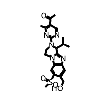 CC(=O)c1cnc(N2CCn3c(nc4cc(CO)c(S(C)(=O)=O)cc43)C2C(C)C)nc1C